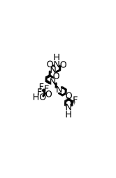 O=C(O)C(F)(F)F.O=C1CCN(Cc2cccn(CCN3CCC(O[C@@H]4CCNC[C@H]4F)CC3)c2=O)C(=O)N1